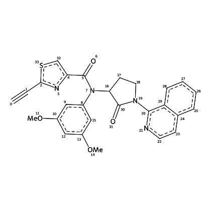 C#Cc1nc(C(=O)N(c2cc(OC)cc(OC)c2)C2CCN(c3nccc4ccccc34)C2=O)cs1